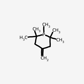 C=C1CC(C)(C)P(C)C(C)(C)C1